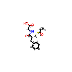 CC(=O)SC[C@H](Cc1ccccc1)C(=O)NCC(=O)O